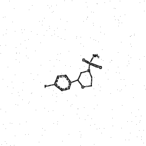 NS(=O)(=O)N1CCOC(c2ccc(F)cc2)C1